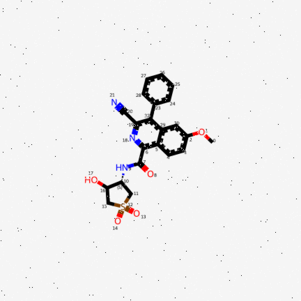 COc1ccc2c(C(=O)N[C@@H]3CS(=O)(=O)CC3O)nc(C#N)c(-c3ccccc3)c2c1